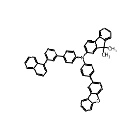 CC1(C)c2ccccc2-c2ccc(N(c3ccc(-c4cccc(-c5cccc6ccccc56)c4)cc3)c3ccc(-c4ccc5oc6ccccc6c5c4)cc3)cc21